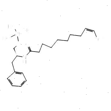 CCCCCCCC/C=C\CCCCCCCC(=O)N[C@H](CO[PH](O)(O)O)Cc1ccccc1